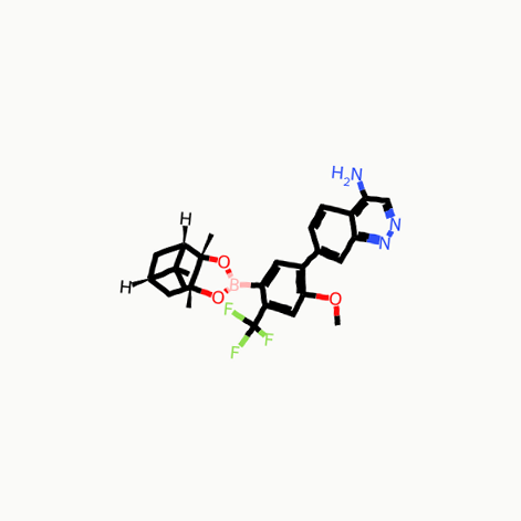 COc1cc(C(F)(F)F)c(B2O[C@]3(C)C[C@@H]4C[C@@H](C4(C)C)[C@]3(C)O2)cc1-c1ccc2c(N)cnnc2c1